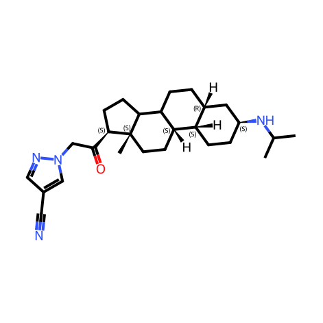 CC(C)N[C@H]1CC[C@H]2[C@H](CCC3C4CC[C@H](C(=O)Cn5cc(C#N)cn5)[C@@]4(C)CC[C@H]32)C1